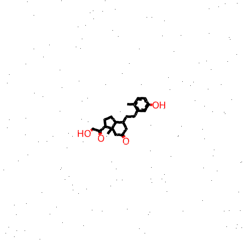 Cc1ccc(O)cc1CCC1CC(=O)CC2(C)C(C(=O)CO)CCC12